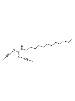 CC#COC(NCCCCCCCCCCCC)OC#CC